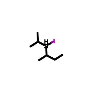 CCC(C)[SiH](I)C(C)C